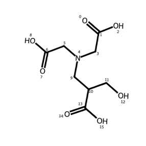 O=C(O)CN(CC(=O)O)CC(CO)C(=O)O